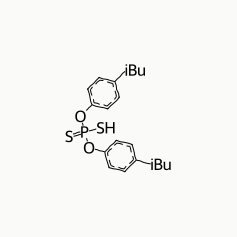 CCC(C)c1ccc(OP(=S)(S)Oc2ccc(C(C)CC)cc2)cc1